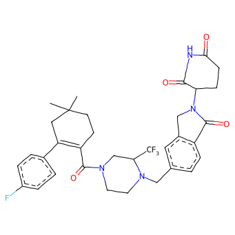 CC1(C)CCC(C(=O)N2CCN(Cc3ccc4c(c3)CN(C3CCC(=O)NC3=O)C4=O)C(C(F)(F)F)C2)=C(c2ccc(F)cc2)C1